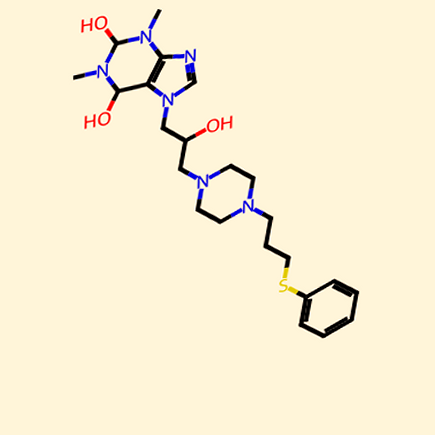 CN1c2ncn(CC(O)CN3CCN(CCCSc4ccccc4)CC3)c2C(O)N(C)C1O